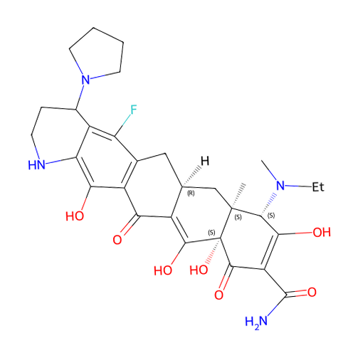 CCN(C)[C@@H]1C(O)=C(C(N)=O)C(=O)[C@@]2(O)C(O)=C3C(=O)c4c(O)c5c(c(F)c4C[C@H]3C[C@@]12C)C(N1CCCC1)CCN5